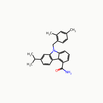 Cc1ccc(Cn2c3cc(C(C)C)c[c]c3c3c(C(N)=O)cccc32)c(C)c1